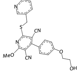 COc1nc(SCc2cccnc2)c(C#N)c(-c2ccc(OCCO)cc2)c1C#N